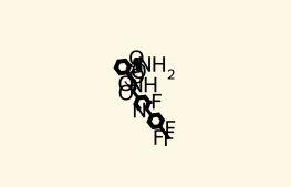 NS(=O)(=O)c1ccccc1S(=O)(=O)NC(=O)c1cnc(-c2ccc(C(F)(F)F)cc2)c(F)c1